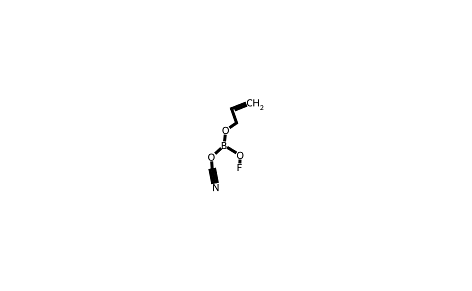 C=CCOB(OF)OC#N